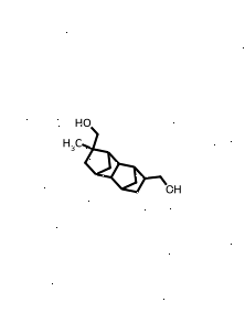 CC1(CO)CC2CC1C1C3CC(CC3CO)C21